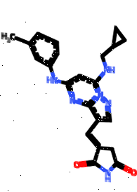 Cc1cccc(Nc2cc(NCC3CC3)n3ncc(/C=C4\CC(=O)NC4=O)c3n2)c1